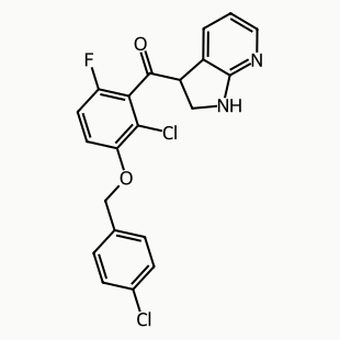 O=C(c1c(F)ccc(OCc2ccc(Cl)cc2)c1Cl)C1CNc2ncccc21